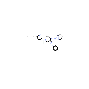 O=C(O)c1cnc(N2CCc3nc(N4CCCCC4)nc(Nc4ccc(C(F)(F)F)cc4)c3CC2)c(Cl)c1